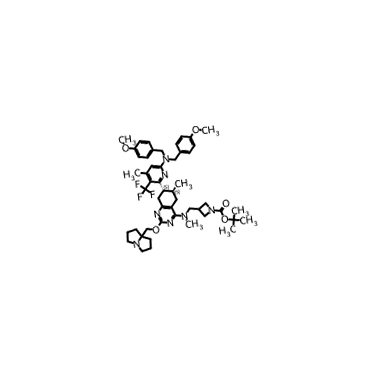 COc1ccc(CN(Cc2ccc(OC)cc2)c2cc(C)c(C(F)(F)F)c([C@H]3Cc4nc(OCC56CCCN5CCC6)nc(N(C)CC5CN(C(=O)OC(C)(C)C)C5)c4C[C@@H]3C)n2)cc1